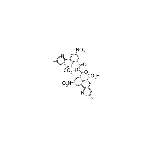 Cc1cnc2c(c1)cc(C(=O)O)c1c(C(=O)OC(=O)c3cc([N+](=O)[O-])cc4c3c(C(=O)O)cc3cc(C)cnc34)cc([N+](=O)[O-])cc12